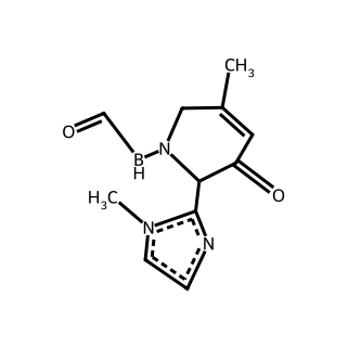 CC1=CC(=O)C(c2nccn2C)N(BC=O)C1